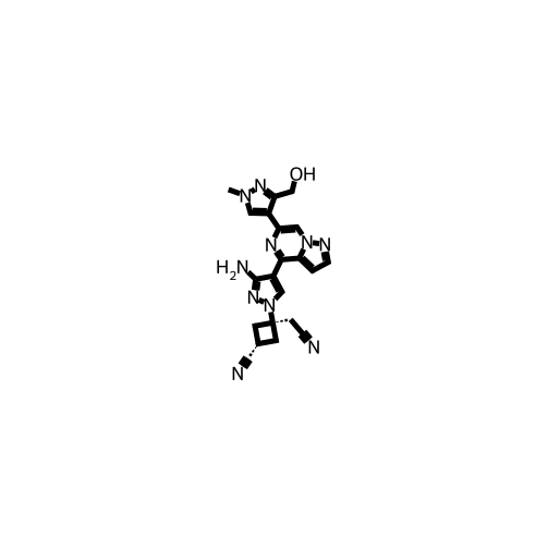 Cn1cc(-c2cn3nccc3c(-c3cn([C@]4(CC#N)C[C@@H](C#N)C4)nc3N)n2)c(CO)n1